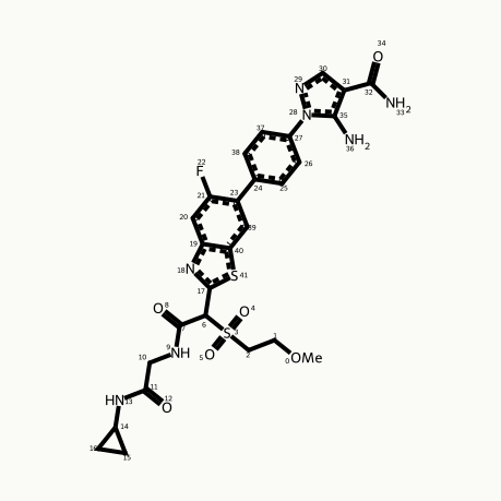 COCCS(=O)(=O)C(C(=O)NCC(=O)NC1CC1)c1nc2cc(F)c(-c3ccc(-n4ncc(C(N)=O)c4N)cc3)cc2s1